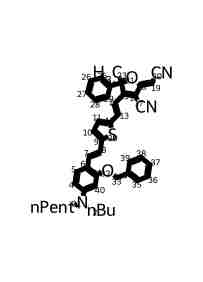 CCCCCN(CCCC)c1ccc(/C=C/c2ccc(/C=C/C3=C(C#N)C(=C/C#N)/OC3(C)c3ccccc3)s2)c(OCc2ccccc2)c1